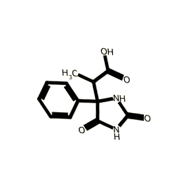 CC(C(=O)O)C1(c2ccccc2)NC(=O)NC1=O